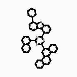 c1ccc(-c2cccc3c2oc2cccc(-c4nc(-c5cccc6ccccc56)nc(-c5cc6c7ccccc7ccc6c6ccccc56)n4)c23)cc1